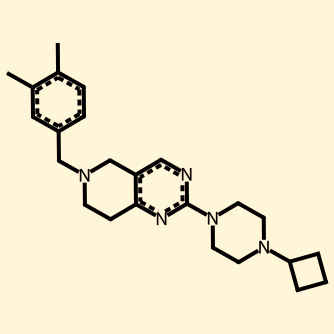 Cc1ccc(CN2CCc3nc(N4CCN(C5CCC5)CC4)ncc3C2)cc1C